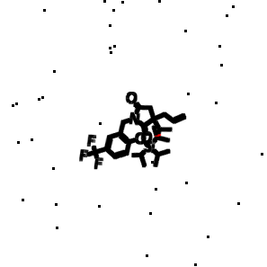 C=CCC1(C(C)C)CC(=O)N(Cc2cc(C(F)(F)F)ccc2O[Si](C(C)C)(C(C)C)C(C)C)C1=O